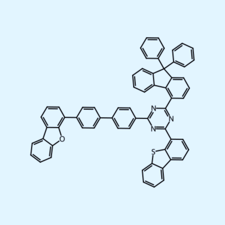 c1ccc(C2(c3ccccc3)c3ccccc3-c3c(-c4nc(-c5ccc(-c6ccc(-c7cccc8c7oc7ccccc78)cc6)cc5)nc(-c5cccc6c5sc5ccccc56)n4)cccc32)cc1